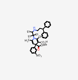 CCC(NCCC(c1ccccc1)c1ccccc1)C(CC)(CC)N1C(C)=CC(C(=O)OC)(c2cccc([N+](=O)[O-])c2)C(C(=O)O)=C1C